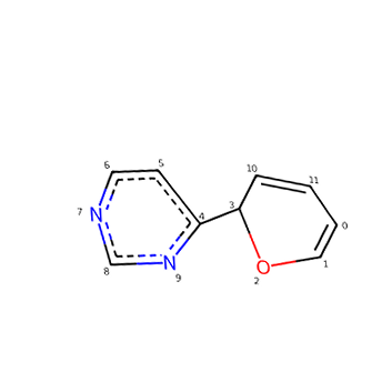 C1=COC(c2ccncn2)C=C1